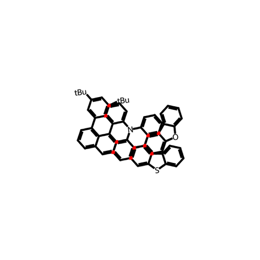 CC(C)(C)c1cc(-c2cccc3cccc(-c4ccccc4N(c4ccccc4-c4ccc5oc6ccccc6c5c4)c4ccccc4-c4cccc5sc6ccccc6c45)c23)cc(C(C)(C)C)c1